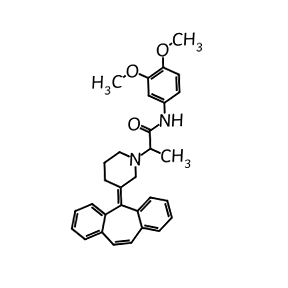 COc1ccc(NC(=O)C(C)N2CCCC(=C3c4ccccc4C=Cc4ccccc43)C2)cc1OC